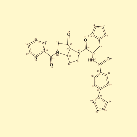 O=C(NC(Cc1cccs1)C(=O)N1CCC2C1C(=O)CN2C(=O)c1ccccn1)c1ccc(-c2cccs2)cc1